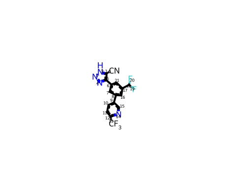 N#Cc1[nH]nnc1-c1cc(-c2ccc(C(F)(F)F)nc2)cc(C(F)F)c1